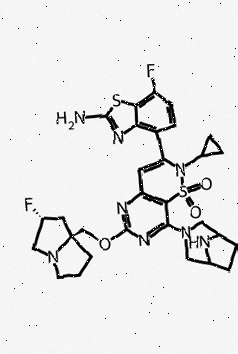 Nc1nc2c(C3=Cc4nc(OC[C@@]56CCCN5C[C@H](F)C6)nc(N5CC6CCC(C5)N6)c4S(=O)(=O)N3C3CC3)ccc(F)c2s1